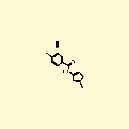 C#Cc1cc(C(=O)NC2=CCC(C)=C2)ccc1F